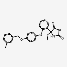 CCC1(c2cnccc2Sc2ccc(OCc3cccc(C)c3)cc2)NC(=O)NC1=O